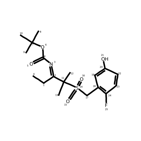 CCC(=NC(=O)OC(C)(C)C)C(C)(C)S(=O)(=O)Cc1cc(O)ccc1F